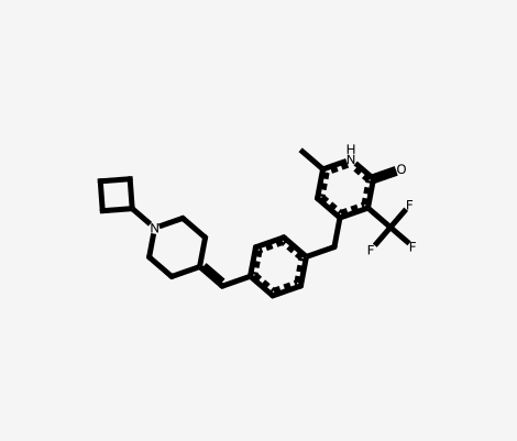 Cc1cc(Cc2ccc(C=C3CCN(C4CCC4)CC3)cc2)c(C(F)(F)F)c(=O)[nH]1